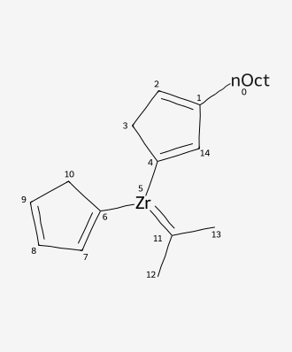 CCCCCCCCC1=CC[C]([Zr]([C]2=CC=CC2)=[C](C)C)=C1